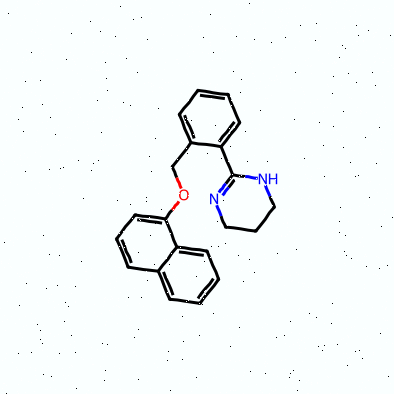 c1ccc(C2=NCCCN2)c(COc2cccc3ccccc23)c1